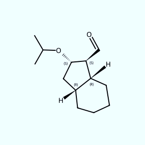 CC(C)O[C@H]1C[C@H]2CCCC[C@H]2[C@@H]1C=O